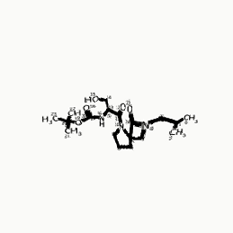 CC(C)CN1CC2(CCCN2C(=O)[C@H](CO)NC(=O)OC(C)(C)C)C1=O